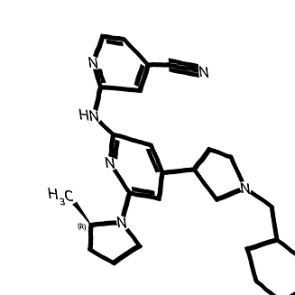 C[C@@H]1CCCN1c1cc(C2CCN(CC3CCOCC3)C2)cc(Nc2cc(C#N)ccn2)n1